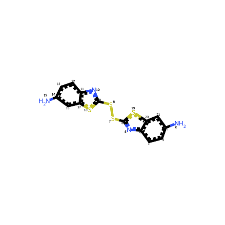 Nc1ccc2nc(SSc3nc4ccc(N)cc4s3)sc2c1